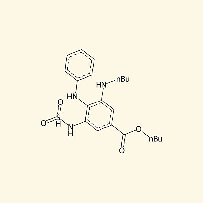 CCCCNc1cc(C(=O)OCCCC)cc(N[SH](=O)=O)c1Nc1ccccc1